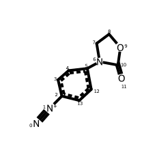 N#[N+]c1ccc(N2CCOC2=O)cc1